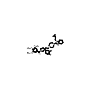 COc1cc(C(=O)N2CCC(CCN3CCCN(c4nc5ccccc5n4CC=C(C)C)CC3)(c3ccc(F)c(F)c3)C2)cc(OC)c1OC